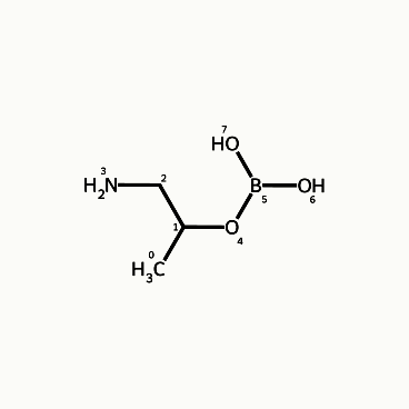 CC(CN)OB(O)O